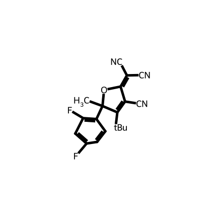 CC(C)(C)C1=C(C#N)C(=C(C#N)C#N)OC1(C)c1ccc(F)cc1F